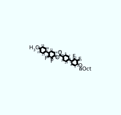 CCCCCCCCOc1ccc(-c2ccc(C(=O)Oc3ccc(-c4ccc(C)cc4)c(F)c3F)cc2)c(F)c1F